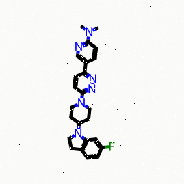 CN(C)c1ccc(-c2ccc(N3CCC(N4CCc5ccc(F)cc54)CC3)nn2)cn1